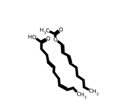 CC/C=C\CC/C=C/CCC(=O)O.CCCCCC=CC=COC(C)=O